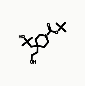 CC(C)(O)CC1(CCO)CCN(C(=O)OC(C)(C)C)CC1